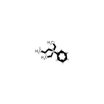 CCC[Si](CC)(CC)c1ccccc1